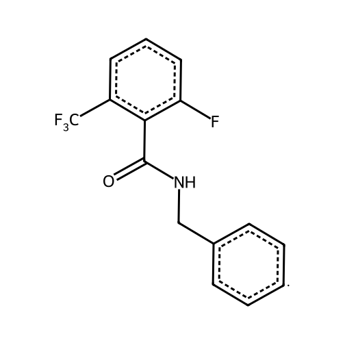 O=C(NCc1cc[c]cc1)c1c(F)cccc1C(F)(F)F